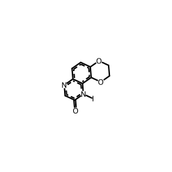 O=c1cnc2ccc3c(c2n1I)OCCO3